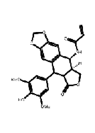 C=CC(=O)N[C@@H]1c2cc3c(cc2C(c2cc(OC)c(O)c(OC)c2)C2C(=O)OC[C@@H]21)OCO3